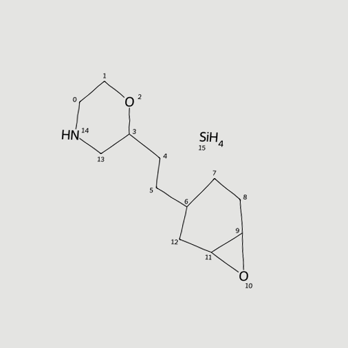 C1COC(CCC2CCC3OC3C2)CN1.[SiH4]